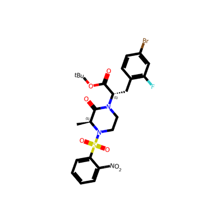 C[C@H]1C(=O)N([C@@H](Cc2ccc(Br)cc2F)C(=O)OC(C)(C)C)CCN1S(=O)(=O)c1ccccc1[N+](=O)[O-]